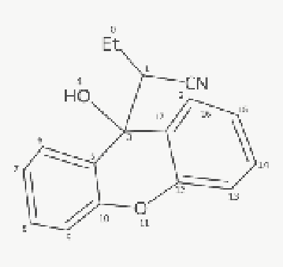 CCC(C#N)C1(O)c2ccccc2Oc2ccccc21